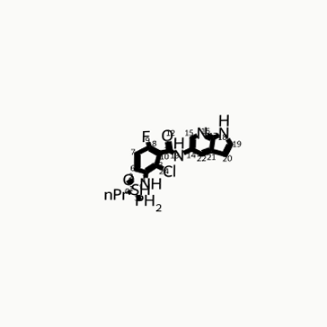 CCC[SH](=O)(P)Nc1ccc(F)c(C(=O)Nc2cnc3[nH]ccc3c2)c1Cl